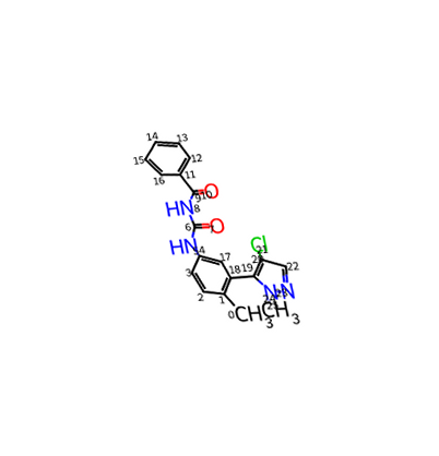 Cc1ccc(NC(=O)NC(=O)c2ccccc2)cc1-c1c(Cl)cnn1C